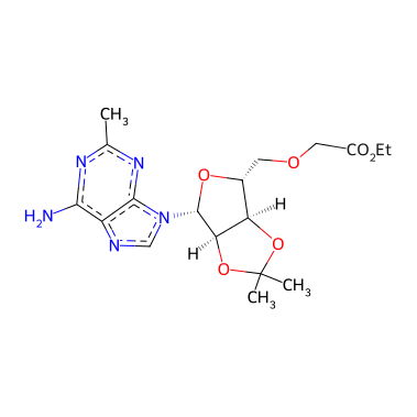 CCOC(=O)COC[C@H]1O[C@@H](n2cnc3c(N)nc(C)nc32)[C@@H]2OC(C)(C)O[C@@H]21